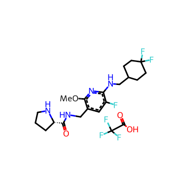 COc1nc(NCC2CCC(F)(F)CC2)c(F)cc1CNC(=O)[C@@H]1CCCN1.O=C(O)C(F)(F)F